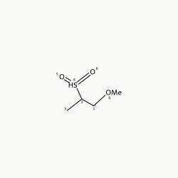 CO[CH]C(C)[SH](=O)=O